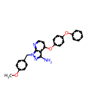 COc1ccc(Cn2nc(N)c3c(Oc4ccc(Oc5ccccc5)cc4)ccnc32)cc1